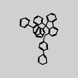 C1=CC(c2ccc(N(c3ccc(-c4ccccc4)cc3)c3cccc4c3C(c3ccccc3)(c3ccccc3)c3ccccc3-4)cc2)=CCC1